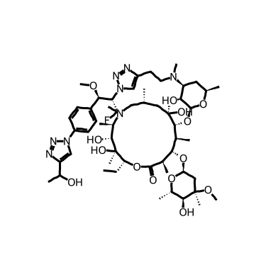 CC[C@H]1OC(=O)[C@H](C)[C@@H](O[C@H]2C[C@@](C)(OC)[C@@H](O)[C@H](C)O2)[C@H](C)[C@@H](O[C@@H]2O[C@H](C)C[C@H](N(C)CCc3cn([C@H](CF)[C@H](OC)c4ccc(-n5cc(C(C)O)nn5)cc4)nn3)[C@H]2O)[C@](C)(O)C[C@@H](C)CN(C)[C@H](C)[C@@H](O)[C@]1(C)O